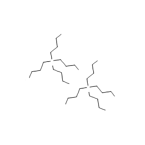 CCCC[PH](CCCC)(CCCC)CCCC.CCCC[PH](CCCC)(CCCC)CCCC.[H+]